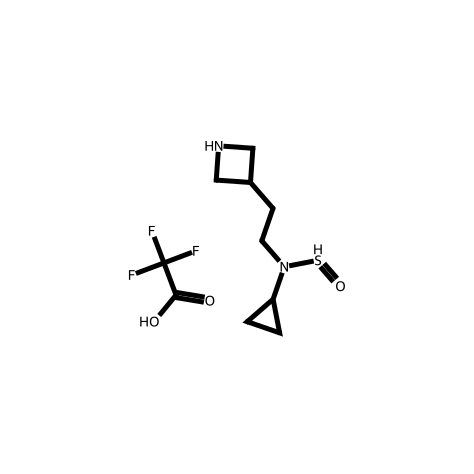 O=C(O)C(F)(F)F.O=[SH]N(CCC1CNC1)C1CC1